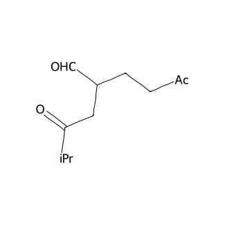 CC(=O)CCC(C=O)CC(=O)C(C)C